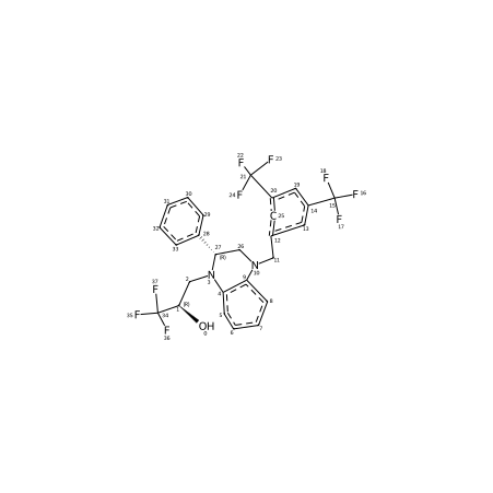 O[C@H](CN1c2ccccc2N(Cc2cc(C(F)(F)F)cc(C(F)(F)F)c2)C[C@H]1c1ccccc1)C(F)(F)F